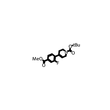 COC(=O)c1ccc(C2=CCN(C(=O)OC(C)(C)C)CC2)c(F)c1